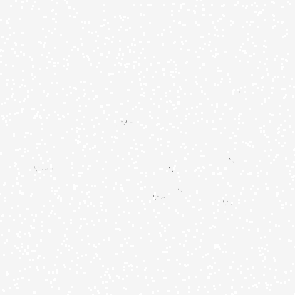 CCCN(c1c(OC)nn2c(-c3c(OC)cc(COC)cc3OC)c(CC)sc12)C1CCOCC1